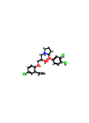 CC(=O)Nc1cc(Cl)ccc1OCC(O)CN1CCCC1Oc1ccc(Cl)c(Cl)c1